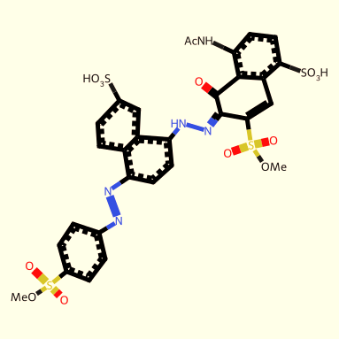 COS(=O)(=O)C1=Cc2c(S(=O)(=O)O)ccc(NC(C)=O)c2C(=O)/C1=N\Nc1ccc(/N=N/c2ccc(S(=O)(=O)OC)cc2)c2ccc(S(=O)(=O)O)cc12